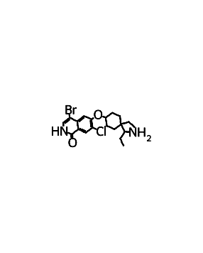 CCC(N)C1(CC)CCC(Oc2cc3c(Br)c[nH]c(=O)c3cc2Cl)CC1